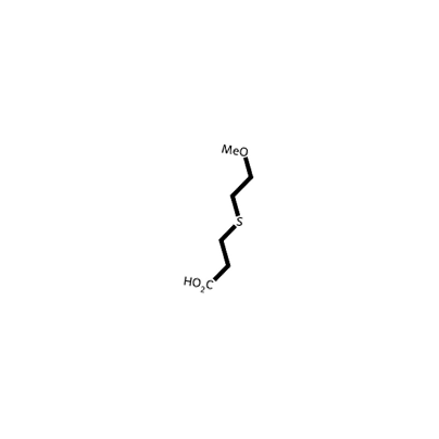 COCCSCCC(=O)O